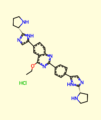 CCOc1nc(-c2ccc(-c3cnc([C@@H]4CCCN4)[nH]3)cc2)nc2ccc(-c3cnc([C@@H]4CCCN4)[nH]3)cc12.Cl